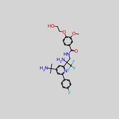 COc1cc(C(=O)NCC(N)(c2cc(C(C)(C)N)cc(-c3ccc(F)cc3)n2)C(F)(F)F)ccc1OCCO